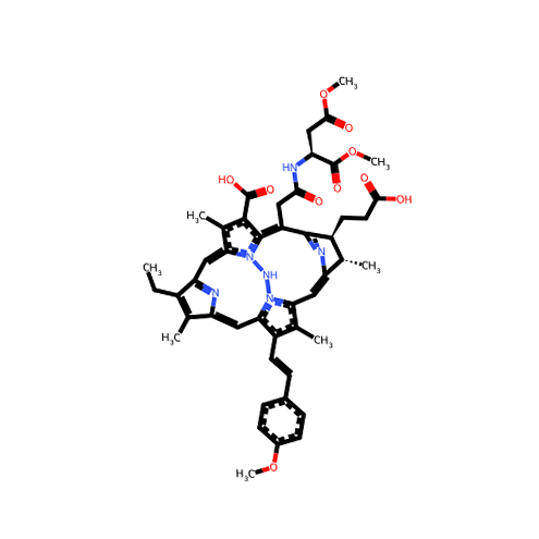 CCC1=C(C)/C2=C/c3c(/C=C/c4ccc(OC)cc4)c(C)c4n3Nn3/c(c(C)c(C(=O)O)/c3=C(\CC(=O)N[C@@H](CC(=O)OC)C(=O)OC)C3=N/C(=C\4)[C@@H](C)[C@@H]3CCC(=O)O)=C\C1=N2